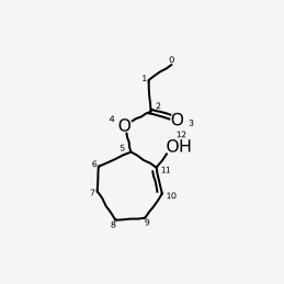 CCC(=O)OC1CCCCC=C1O